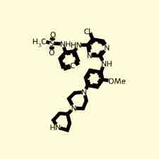 COc1cc(N2CCN(C3CCNCC3)CC2)ccc1Nc1ncc(Cl)c(Nc2ccccc2NS(C)(=O)=O)n1